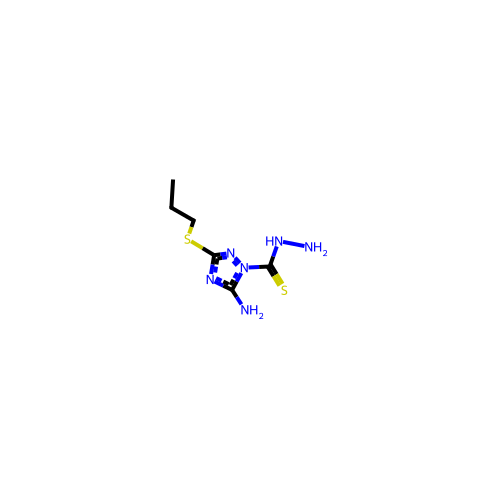 CCCSc1nc(N)n(C(=S)NN)n1